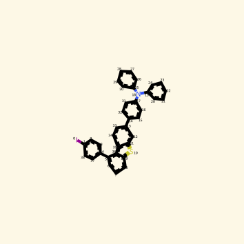 Ic1ccc(-c2cccc3sc4cc(-c5ccc(N(c6ccccc6)c6ccccc6)cc5)ccc4c23)cc1